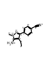 CCc1c(-c2ccc(C#N)cc2)nn(C)c1N